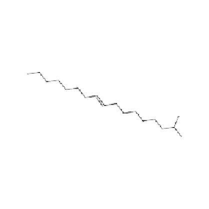 CCCCCCCC=CCCCCCCC(C)C